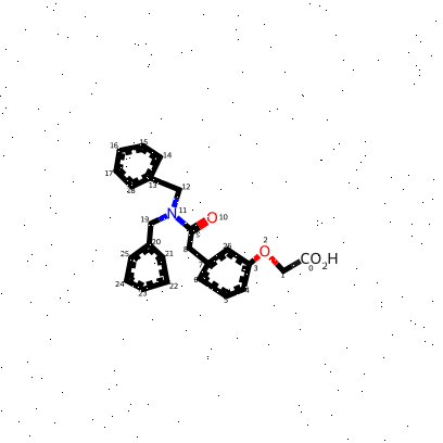 O=C(O)COc1cccc(CC(=O)N(Cc2ccccc2)Cc2ccccc2)c1